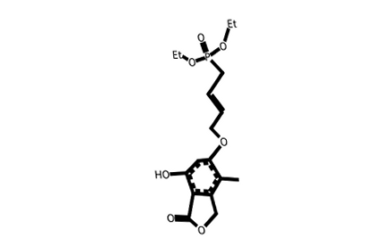 CCOP(=O)(C/C=C/COc1cc(O)c2c(c1C)COC2=O)OCC